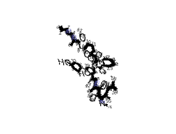 C=C/C=C/C=C(\C)[C@H](C[C@@H]1CCC[C@](O)(C(=O)C(=O)N2CCCC[C@H]2C(=O)O[C@H](CC[C@H]2CC[C@H](O)CC2)C[C@@H](O)[C@H](C)/C=C(\C)[C@@H](O)[C@@H](OC)/C(=N/C)[C@H](C)CC(C)C)O1)OC